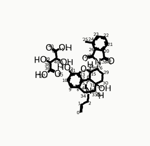 C=CCN1CC[C@]23c4c5ccc(O)c4O[C@H]2[C@H](N2C(=O)c4cccc(C)c4C2=O)CCC3(O)[C@H]1C5.O=C(O)C(O)C(O)C(=O)O